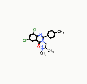 CNC(C)Cn1c(-c2ccc(C)cc2)nc2c(Cl)cc(Cl)cc2c1=O